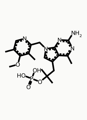 COc1c(C)cnc(Cn2cc(CC(C)(C)OP(=O)(O)O)c3c(C)nc(N)nc32)c1C